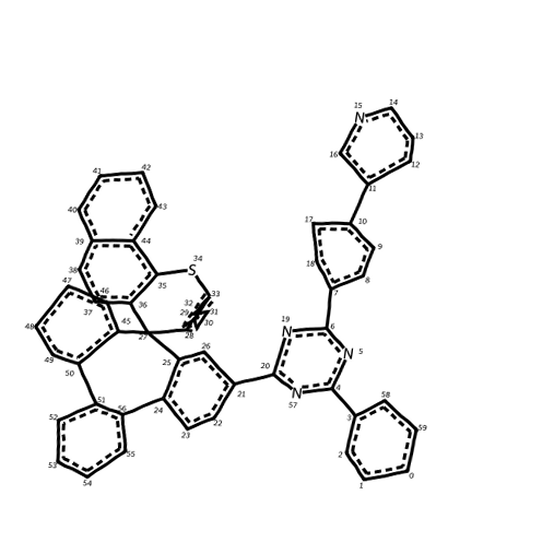 c1ccc(-c2nc(-c3ccc(-c4cccnc4)cc3)nc(-c3ccc4c(c3)C3(c5ccccc5Sc5c3ccc3ccccc53)c3ccccc3-c3ccccc3-4)n2)cc1